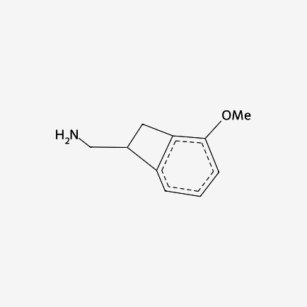 COc1cccc2c1CC2CN